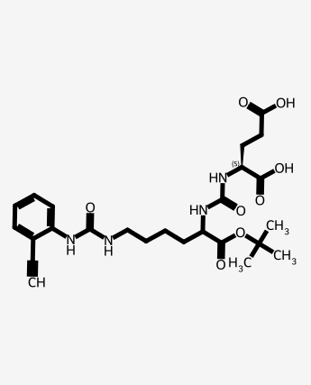 C#Cc1ccccc1NC(=O)NCCCCC(NC(=O)N[C@@H](CCC(=O)O)C(=O)O)C(=O)OC(C)(C)C